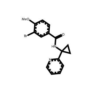 COc1ccc(C(=O)NC2(c3ccccn3)CC2)cc1Br